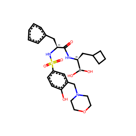 O=C(N[C@@H](CC1CCC1)B(O)O)[C@H](Cc1ccccc1)NS(=O)(=O)c1ccc(O)c(CN2CCOCC2)c1